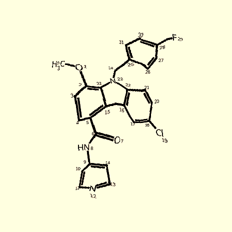 COc1ccc(C(=O)Nc2ccncc2)c2c3cc(Cl)ccc3n(Cc3ccc(F)cc3)c12